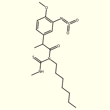 CCCCCCCN(C(=O)C(C)c1ccc(OC)c(N=S(=O)=O)c1)C(=S)NC